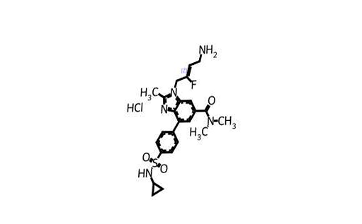 Cc1nc2c(-c3ccc(S(=O)(=O)NC4CC4)cc3)cc(C(=O)N(C)C)cc2n1C/C(F)=C/CN.Cl